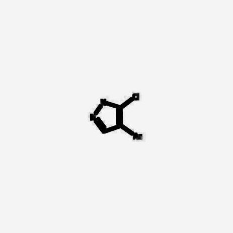 CC(=O)C1=C(Cl)[N]N=C1